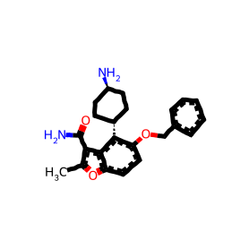 Cc1oc2ccc(OCc3ccccc3)c([C@H]3CC[C@H](N)CC3)c2c1C(N)=O